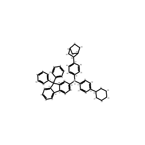 c1ccc(C2(c3ccccc3)c3ccccc3-c3ccc(N(c4ccc(C5CCCCC5)cc4)c4ccc(C5CC6CCC5C6)cc4)cc32)cc1